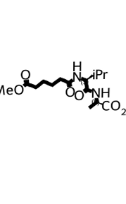 COC(=O)CCCCC(=O)N[C@H](C(=O)N[C@@H](C)C(=O)O)C(C)C